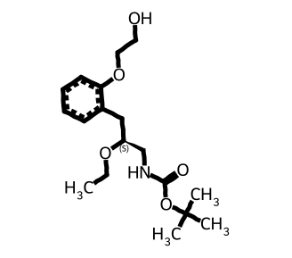 CCO[C@H](CNC(=O)OC(C)(C)C)Cc1ccccc1OCCO